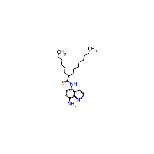 CCCCCCCCC(CCCCCC)C(=S)Nc1ccc(N)c2ncccc12